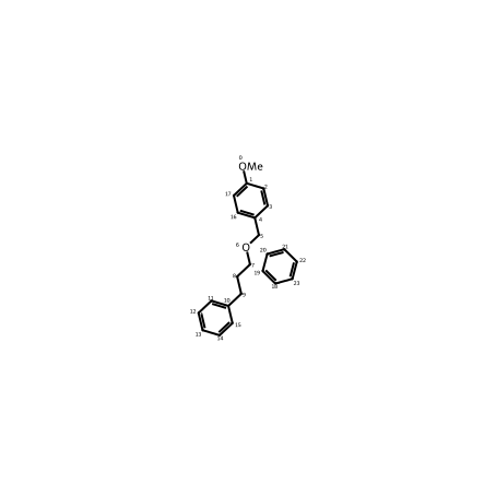 COc1ccc(COCCCc2c[c]ccc2)cc1.[c]1ccccc1